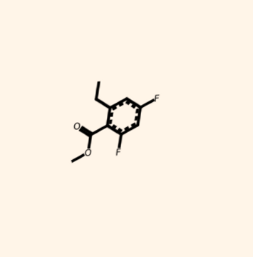 CCc1cc(F)cc(F)c1C(=O)OC